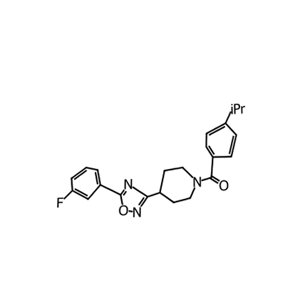 CC(C)c1ccc(C(=O)N2CCC(c3noc(-c4cccc(F)c4)n3)CC2)cc1